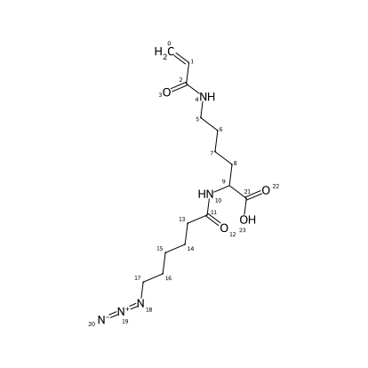 C=CC(=O)NCCCCC(NC(=O)CCCCCN=[N+]=[N-])C(=O)O